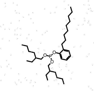 CCCCCCCCCc1ccccc1OP(OCC(CC)CCCC)OCC(CC)CCCC